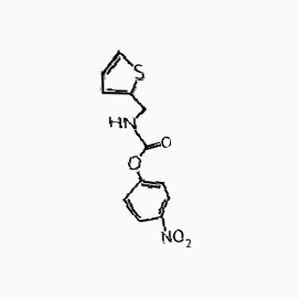 O=C(NCc1cccs1)Oc1ccc([N+](=O)[O-])cc1